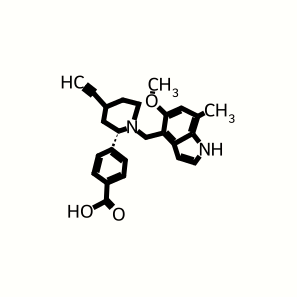 C#CC1CCN(Cc2c(OC)cc(C)c3[nH]ccc23)[C@H](c2ccc(C(=O)O)cc2)C1